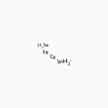 [Cu].[Fe].[SeH2].[SnH2]